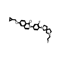 O=c1c2ccc(OCC3CC3)cc2ccn1-c1ccc(N2CCC3(CCN(CCF)C3)C2)c(F)c1